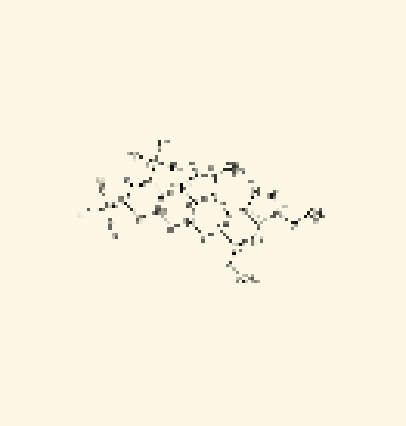 [CH2]Cc1nc2c(cc1CN(Cc1cc(C(F)(F)F)cc(C(F)(F)F)c1)c1nnn(C)n1)ncn2CC